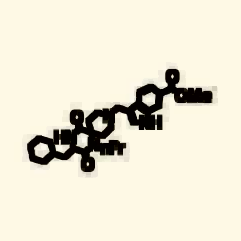 CCCN1C(=O)C(CC2CCCCC2)NC(=O)C12CCN(Cc1c[nH]c3cc(C(=O)OC)ccc13)CC2